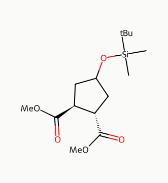 COC(=O)[C@H]1CC(O[Si](C)(C)C(C)(C)C)C[C@@H]1C(=O)OC